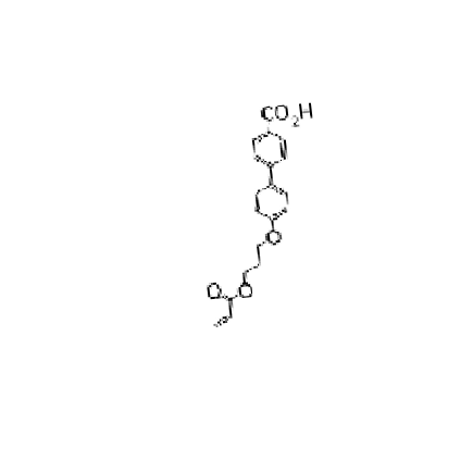 C=CC(=O)OCCCOc1ccc(-c2ccc(C(=O)O)cc2)cc1